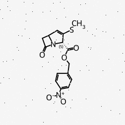 CSC1=CC2CC(=O)N2[C@H]1C(=O)OCc1ccc([N+](=O)[O-])cc1